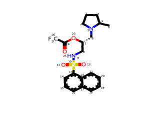 CC1CCCN1C[C@H](CNS(=O)(=O)c1cccc2ccccc12)OC(=O)C(F)(F)F